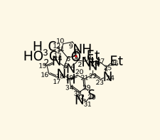 CCNC(=O)NC1(C2CNCCC2(C)C(=O)O)N=CC=CN1c1cc(-c2cnc(CC)cn2)c2scnc2c1